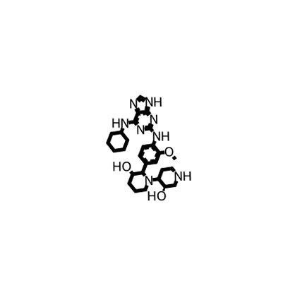 COc1cc(C2C(O)CCCN2C2CCNC[C@H]2O)ccc1Nc1nc(NC2CCCCC2)c2nc[nH]c2n1